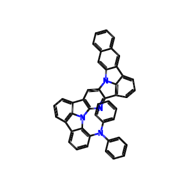 c1ccc(N(c2ccccc2)c2cccc3c4cccc5c6cc7c(nc6n(c23)c54)c2cccc3c4cc5ccccc5cc4n7c32)cc1